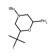 CC(C)(I)C1CN(C(C)(C)C)CC(P)O1